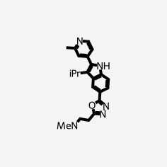 CNCCc1nnc(-c2ccc3[nH]c(-c4ccnc(C)c4)c(C(C)C)c3c2)o1